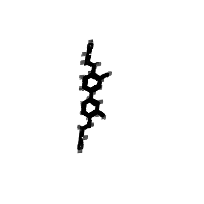 Cc1cc(-c2ccc(SN=C=O)c(C)c2)ccc1SN=C=O